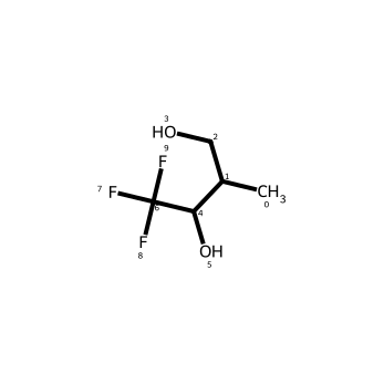 CC(CO)C(O)C(F)(F)F